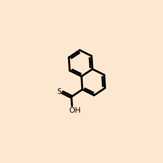 OC(=S)c1cccc2ccccc12